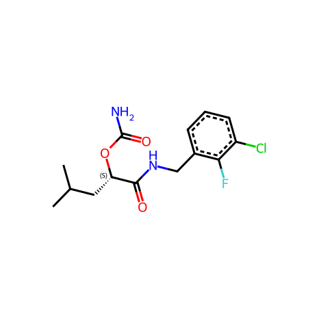 CC(C)C[C@H](OC(N)=O)C(=O)NCc1cccc(Cl)c1F